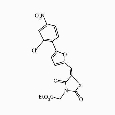 CCOC(=O)CN1C(=O)SC(=Cc2ccc(-c3ccc([N+](=O)[O-])cc3Cl)o2)C1=O